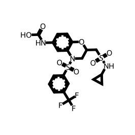 O=C(O)Nc1ccc2c(c1)N(S(=O)(=O)c1cccc(C(F)(F)F)c1)CC(CS(=O)(=O)NC1CC1)O2